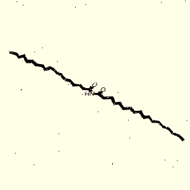 CCCCCCCCC=CCCCCCCCC(=O)NC(=O)CCCCCCCC=CCCCCCCCC